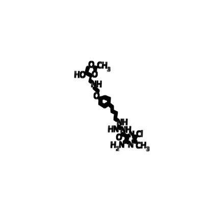 Cc1nc(N)c(C(=O)NC(=N)NCCCCc2ccc(OCCNC[C@@H]3O[C@H](C)OC[C@H]3O)cc2)nc1Cl